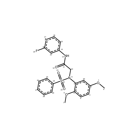 COc1ccc(OC)c(N(CC(=O)Nc2ccnc(F)c2)S(=O)(=O)c2ccccc2)c1